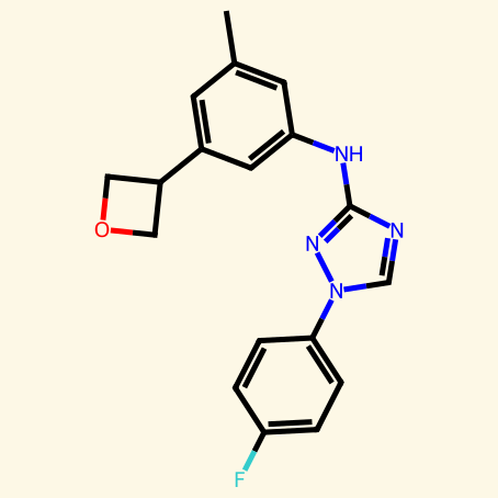 Cc1cc(Nc2ncn(-c3ccc(F)cc3)n2)cc(C2COC2)c1